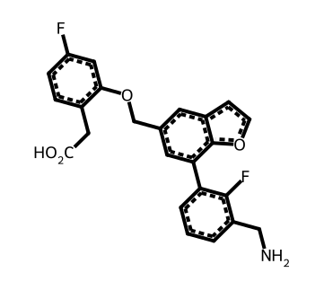 NCc1cccc(-c2cc(COc3cc(F)ccc3CC(=O)O)cc3ccoc23)c1F